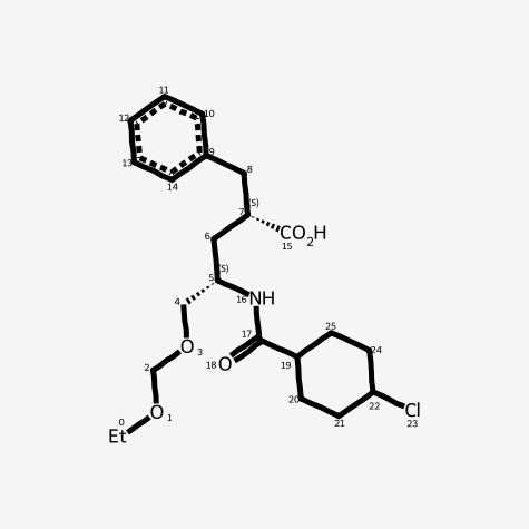 CCOCOC[C@H](C[C@H](Cc1ccccc1)C(=O)O)NC(=O)C1CCC(Cl)CC1